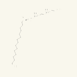 CCCCCCCCCCCCCCCC[SiH](C)O[SiH2]O[SiH2]O[SiH2]O[SiH2]O[SiH2]O[SiH3]